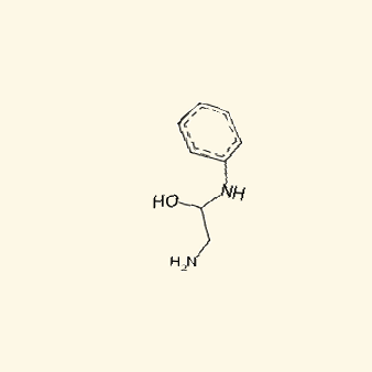 NCC(O)Nc1ccccc1